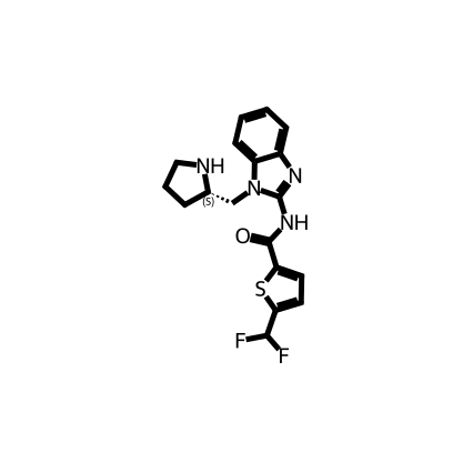 O=C(Nc1nc2ccccc2n1C[C@@H]1CCCN1)c1ccc(C(F)F)s1